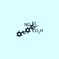 CCc1c(C#N)c(-c2ccc(OCc3ccccc3)cc2)c(C(=O)O)n1C